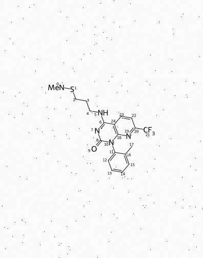 CNSCCCNc1nc(=O)n(-c2ccccc2C)c2nc(C(F)(F)F)ccc12